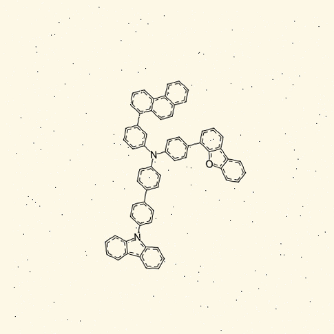 c1cc(-c2cccc3c2ccc2ccccc23)cc(N(c2ccc(-c3ccc(-n4c5ccccc5c5ccccc54)cc3)cc2)c2ccc(-c3cccc4c3oc3ccccc34)cc2)c1